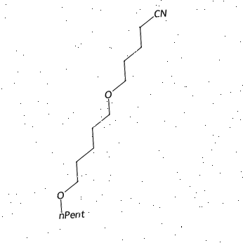 CCCCCOCCCCCOCCCCC#N